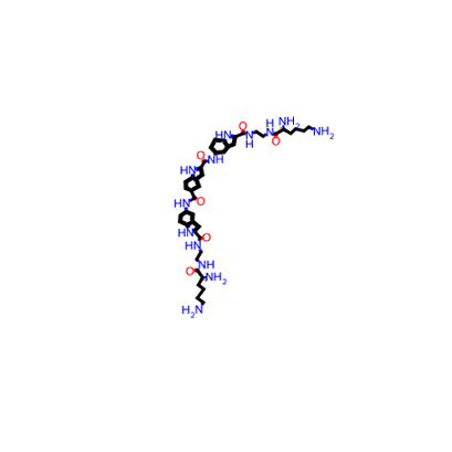 NCCCC[C@H](N)C(=O)NCCNC(=O)c1cc2cc(NC(=O)c3ccc4[nH]c(C(=O)Nc5ccc6[nH]c(C(=O)NCCNC(=O)[C@@H](N)CCCCN)cc6c5)cc4c3)ccc2[nH]1